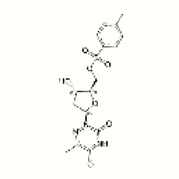 Cc1ccc(S(=O)(=O)OC[C@H]2O[C@@H](n3nc(C)c(=O)[nH]c3=O)C[C@@H]2O)cc1